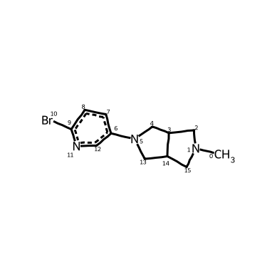 CN1CC2CN(c3ccc(Br)nc3)CC2C1